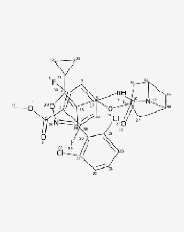 COC(=O)c1c(F)cc(NC(=O)N2C3CC(OCc4c(-c5c(Cl)cccc5Cl)noc4C4CC4)CC2C3)cc1F